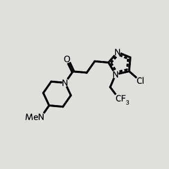 CNC1CCN(C(=O)CCc2ncc(Cl)n2CC(F)(F)F)CC1